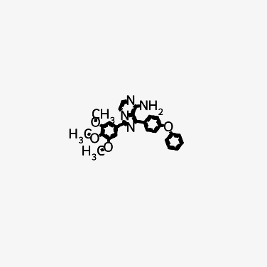 COc1cc(-c2nc(-c3ccc(Oc4ccccc4)cc3)c3c(N)nccn23)cc(OC)c1OC